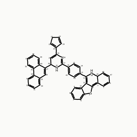 C1=CC2=c3sc4ccccc4c3=C(c3ccc(C4=NC(C5=CCC=C5)=CC(c5cc6ccccc6c6ccccc56)N4)cc3)NC2C=C1